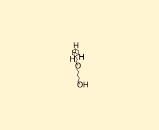 CC1(C)[C@H]2CC[C@@H](CCOCCCCCO)[C@@H]1C2